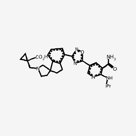 CC(C)Nc1ncc(-c2nc(-c3cccc4c3CCC43CCN(CC4(C(=O)O)CC4)C3)no2)cc1C(N)=O